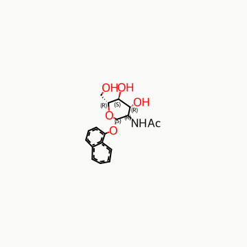 CC(=O)N[C@H]1[C@H](Oc2cccc3ccccc23)O[C@H](CO)[C@@H](O)[C@@H]1O